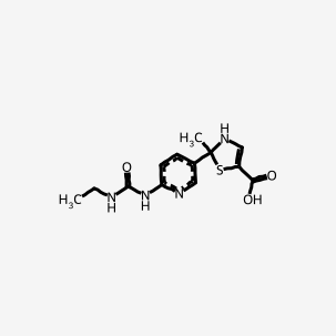 CCNC(=O)Nc1ccc(C2(C)NC=C(C(=O)O)S2)cn1